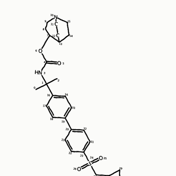 CC(C)(NC(=O)OC1CCN2CCC1CC2)c1ccc(-c2ccc(S(=O)(=O)CC3CC3)cc2)cc1